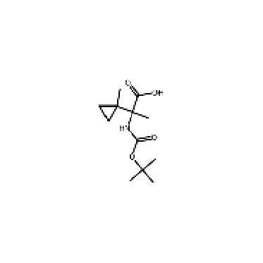 CC(C)(C)OC(=O)NC(C)(C(=O)O)C1(C)CC1